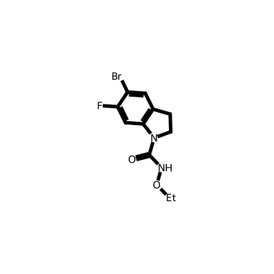 CCONC(=O)N1CCc2cc(Br)c(F)cc21